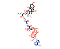 CC(=CCC[C@@H](C)[C@H]1CC[C@H]2[C@@H]3[C@H](O)C[C@@H]4C[C@H](O)CC[C@]4(C)[C@H]3C[C@H](O)[C@]12C)C(=O)SCCNC(=O)CCNC(=O)[C@H](O)C(C)(C)COP(=O)(O)OP(=O)(O)OC[C@H]1O[C@@H](n2cnc3c(N)ncnc32)[C@H](O)[C@@H]1OP(=O)(O)O